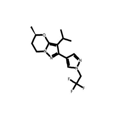 CC(C)c1c(-c2cnn(CC(F)(F)F)c2)nn2c1O[C@H](C)CC2